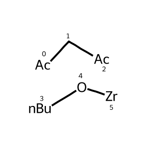 CC(=O)CC(C)=O.CCCC[O][Zr]